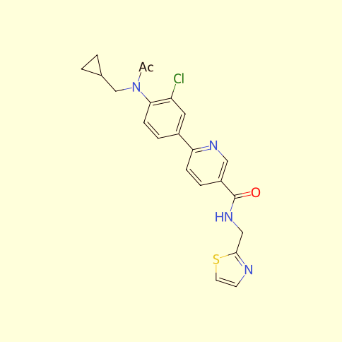 CC(=O)N(CC1CC1)c1ccc(-c2ccc(C(=O)NCc3nccs3)cn2)cc1Cl